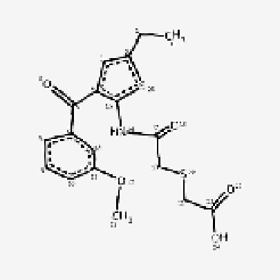 CCc1cc(C(=O)c2cccc(OC)c2)c(NC(=O)CSCC(=O)O)s1